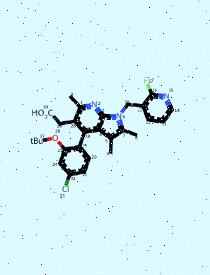 Cc1nc2c(c(C)c(C)n2Cc2cccnc2F)c(-c2ccc(Cl)cc2OC(C)(C)C)c1CC(=O)O